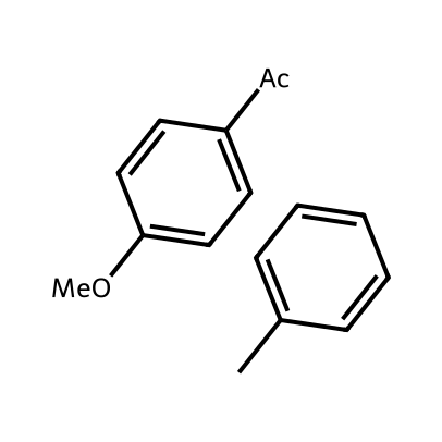 COc1ccc(C(C)=O)cc1.Cc1ccccc1